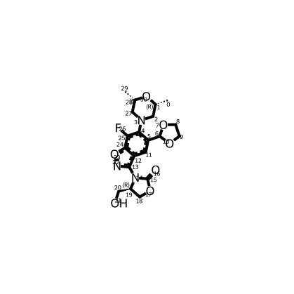 C[C@@H]1CN(c2c(C3OCCO3)cc3c(N4C(=O)OC[C@H]4CO)noc3c2F)C[C@H](C)O1